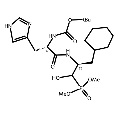 COP(=O)(OC)C(O)[C@H](CC1CCCCC1)NC(=O)[C@H](Cc1c[nH]cn1)NC(=O)OC(C)(C)C